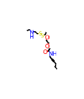 CCCC#CCNC(=O)COCCOC(C)SSCCNCC